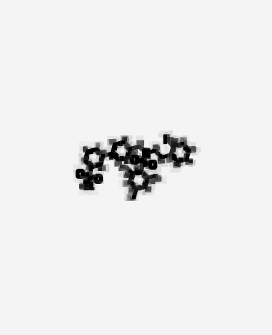 CCS(=O)(=O)c1cccc(-c2ccc(CN(CCc3ccccc3F)S(=O)(=O)c3c(C)cc(C)cc3C)cc2)c1